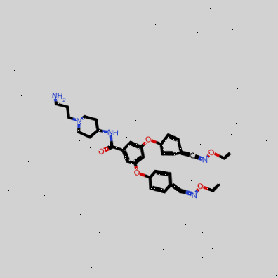 CCON=C=C1C=CC(Oc2cc(OC3C=CC(=C=NOCC)C=C3)cc(C(=O)NC3CCN(CCCN)CC3)c2)C=C1